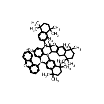 CC1(C)CCC(C)(C)C2CC3=C(C=C21)OC1(C)C3B2c3cc4c(cc3N(c3cccc5oc6ccccc6c35)c3cc(C(C)(C)C)cc(c32)N1c1ccc2c(c1)C(C)(C)CCC2(C)C)C(C)(C)CCC4(C)C